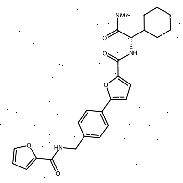 CNC(=O)[C@@H](NC(=O)c1ccc(-c2ccc(CNC(=O)c3ccco3)cc2)o1)C1CCCCC1